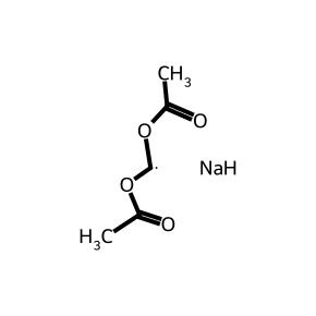 CC(=O)O[CH]OC(C)=O.[NaH]